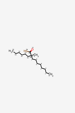 CCCCCCCC[C@](C)(CCCCCC)C(=O)S